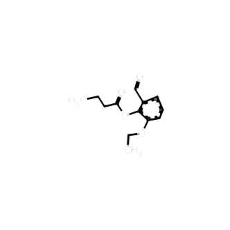 [CH2]CCC(=O)Oc1c(C=O)cccc1OCC